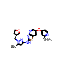 CC(=O)Nc1cc(Oc2cnc3nc(Nc4cc(C(C)(C)C)n(C[C@H]5CCOC5)n4)sc3c2)ccn1